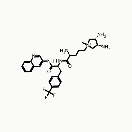 C[N+]1(CCC[C@H](N)C(=O)N[C@@H](Cc2ccc(C(F)(F)F)cc2)C(=O)Nc2cnc3ccccc3c2)C[C@H](N)[C@@H](N)C1